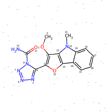 COc1c(-c2nnnn2C(N)=O)oc2c3ccccc3n(C)c12